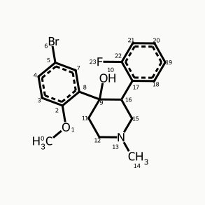 COc1ccc(Br)cc1C1(O)CCN(C)CC1c1ccccc1F